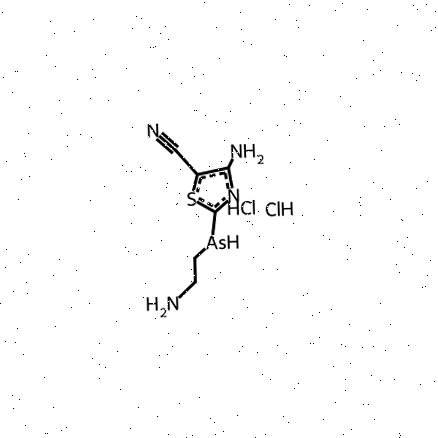 Cl.Cl.N#Cc1sc([AsH]CCN)nc1N